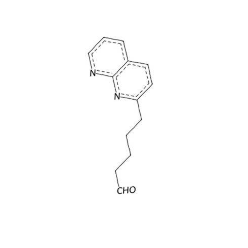 O=CCCCCc1ccc2cccnc2n1